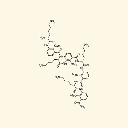 COc1c(NC(=O)[C@@H](CCCCN)NC(=O)c2cccc(NC(=O)[C@@H](CCCCN)NC(=O)c3cccc(NC(=O)[C@@H](CCCCN)NC(=O)c4cccc(NC(=O)[C@H](N)CCCCN)c4OC)c3OC)c2OC)cccc1C(N)=O